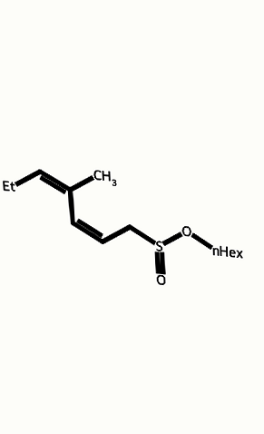 CC/C=C(C)\C=C/CS(=O)OCCCCCC